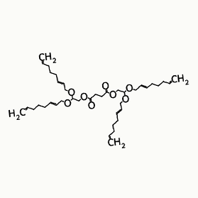 C=CCCCC=CCOC(COC(=O)CCC(=O)OCC(OCC=CCCCC=C)OCC=CCCCC=C)OCC=CCCCC=C